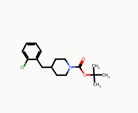 CC(C)(C)OC(=O)N1CCC(Cc2ccccc2Cl)CC1